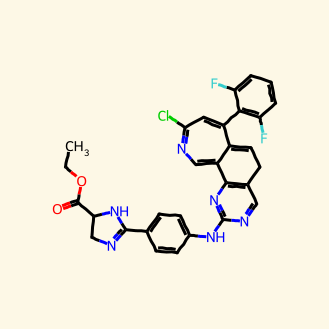 CCOC(=O)C1CN=C(c2ccc(Nc3ncc4c(n3)C3=CN=C(Cl)C=C(c5c(F)cccc5F)C3=CC4)cc2)N1